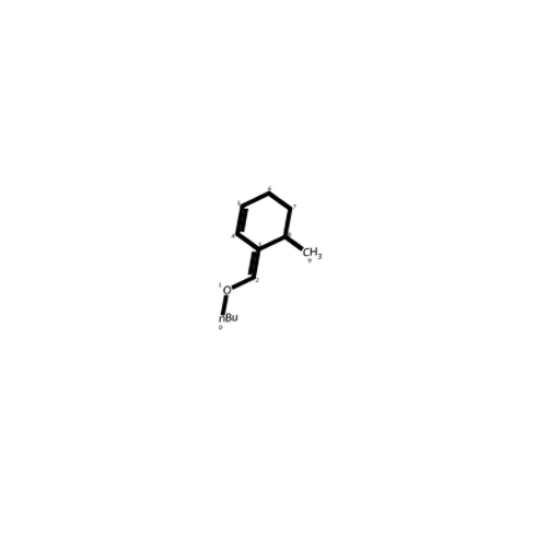 CCCCOC=C1C=CCCC1C